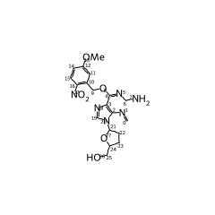 C=Nc1c(/C(=N\CN)OCc2cc(OC)ccc2[N+](=O)[O-])ncn1C1CCC(CO)O1